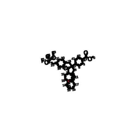 COC(=O)c1ccc(C(CC=Cc2ccccc2)(Cc2ccc(CP(=O)(OF)OF)cc2)C(=O)c2ccc(F)cc2)cc1